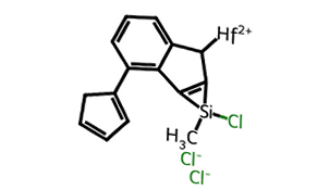 C[Si]1(Cl)C2=C1[CH]([Hf+2])c1cccc(C3=CC=CC3)c12.[Cl-].[Cl-]